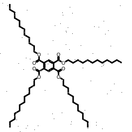 CCCCCCCCCCCCOC(=O)c1cc(C(=O)OCCCCCCCCCCCC)c(C(=O)OCCCCCCCCCCCC)cc1C(=O)OCCCCCCCCCCCC